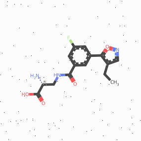 CCc1cnoc1-c1cc(F)cc(C(=O)NC[C@@H](N)C(=O)O)c1